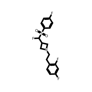 O=S(=O)(c1ccc(F)cc1)C(F)C1CN(CCc2ccc(F)cc2F)C1